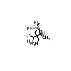 CCO[Si](CC(CN)(C(C)N)C(C)N)(OCC)OCC